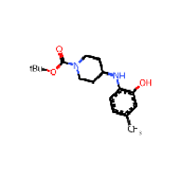 CC(C)(C)OC(=O)N1CCC(Nc2ccc(C(F)(F)F)cc2O)CC1